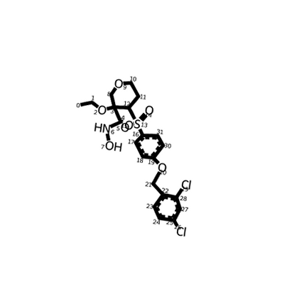 CCOC1(C(=O)NO)COCCC1S(=O)(=O)c1ccc(OCc2ccc(Cl)cc2Cl)cc1